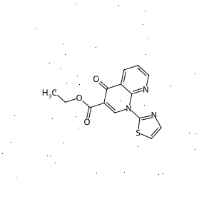 CCOC(=O)c1cn(-c2nccs2)c2ncccc2c1=O